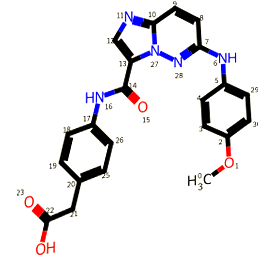 COc1ccc(Nc2ccc3ncc(C(=O)Nc4ccc(CC(=O)O)cc4)n3n2)cc1